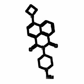 CCCCN1CCC(N2C(=O)c3cccc4c(N5CCC5)ccc(c34)C2=O)CC1